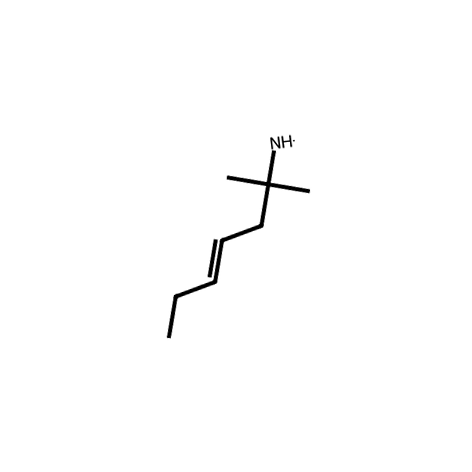 CCC=CCC(C)(C)[NH]